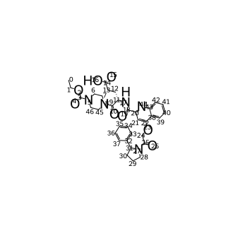 CCOC(=O)N1CCN(C(=O)[C@H](CCC(=O)O)NC(=O)c2cc(OCC(=O)N3CCCC3c3ccccc3)c3ccccc3n2)CC1